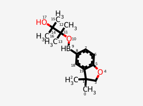 CC1(C)COc2ccc(BOC(C)(C)C(C)(C)O)cc21